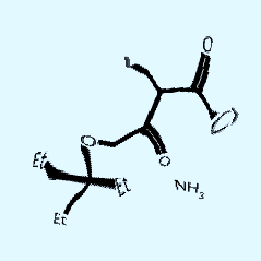 CCC(CC)(CC)OC(=O)C(I)C(=O)Cl.N